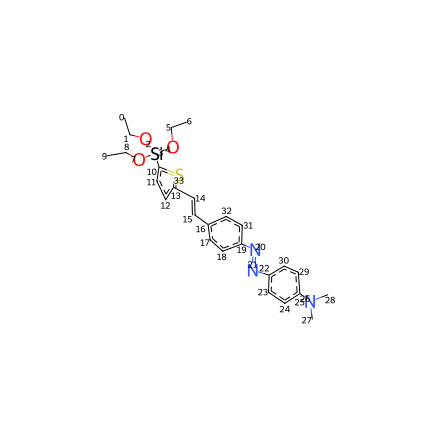 CCO[Si](OCC)(OCC)c1ccc(/C=C/c2ccc(/N=N/c3ccc(N(C)C)cc3)cc2)s1